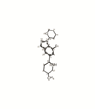 CC1CCC(c2cc(F)c3c(cnn3C3CCCCO3)c2)NC1